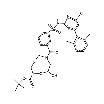 Cc1cccc(C)c1-c1cc(Cl)nc(NS(=O)(=O)c2cccc(C(=O)N3CCCN(C(=O)OC(C)(C)C)CC(O)C3)c2)n1